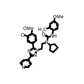 COc1ccc(NC(=O)N(CCn2nc(-c3ccncc3)nc2-c2ccc(OC)c(Cl)c2)C2CCCC2)c(C)c1